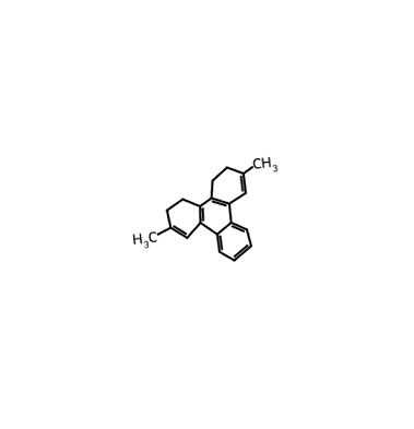 CC1=Cc2c(c3c(c4ccccc24)C=C(C)CC3)CC1